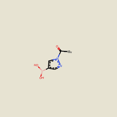 CC(C)(C)C(=O)n1cc(B(O)O)cn1